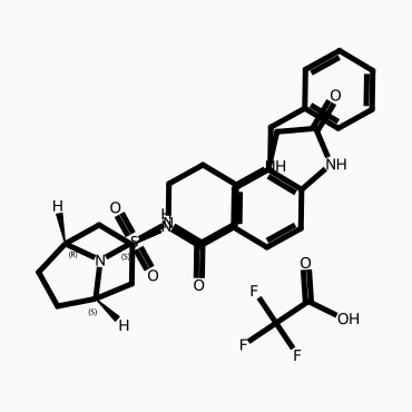 O=C(O)C(F)(F)F.O=C1Cc2cc(C(=O)N[C@@H]3C[C@H]4CC[C@@H](C3)N4S(=O)(=O)N3CCC(NCc4ccccc4)CC3)ccc2N1